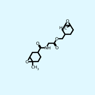 CC12CCC(COC(=O)CNC(=O)C3CCC4(C)OC4C3)CC1O2